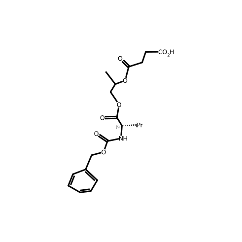 CC(COC(=O)[C@@H](NC(=O)OCc1ccccc1)C(C)C)OC(=O)CCC(=O)O